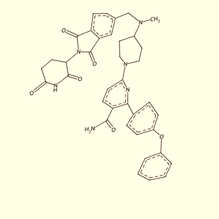 CN(Cc1ccc2c(c1)C(=O)N(C1CCC(=O)NC1=O)C2=O)C1CCN(c2ccc(C(N)=O)c(-c3ccc(Oc4ccccc4)cc3)n2)CC1